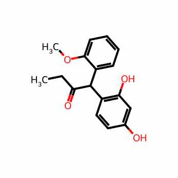 CCC(=O)C(c1ccc(O)cc1O)c1ccccc1OC